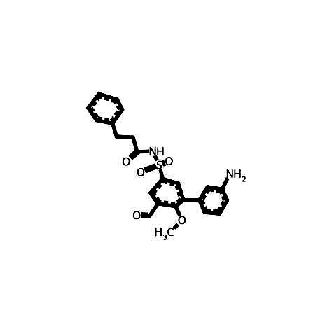 COc1c(C=O)cc(S(=O)(=O)NC(=O)CCc2ccccc2)cc1-c1cccc(N)c1